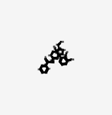 O=C(NC1=N[C@@]2(c3cccc(F)c3F)CO[C@H](CF)[C@H]2CS1)c1ccccc1